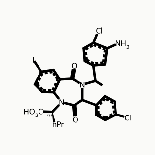 CCC[C@@H](C(=O)O)N1C(=O)C(c2ccc(Cl)cc2)N(C(C)c2ccc(Cl)c(N)c2)C(=O)c2cc(I)ccc21